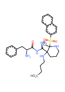 CC1(S(=O)(=O)c2ccc3ccccc3c2)NCCCC1(NCCCC(=O)O)C(=N)NC(=O)[C@@H](N)Cc1ccccc1